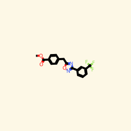 COC(=O)c1ccc(Cc2nc(-c3cccc(C(F)(F)F)c3)no2)cc1